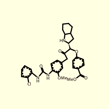 COC(=O)c1ccc(OC(C(=O)Cc2ccc(NC(=O)Nc3ccccc3Cl)c(OC)c2)[C@@H]2CC3CCCCC3N2)cc1